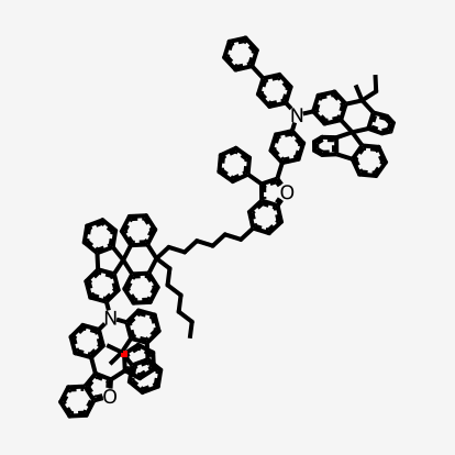 CCCCCCC1(CCCCCCc2ccc3oc(-c4ccc(N(c5ccc(-c6ccccc6)cc5)c5ccc6c(c5)C5(c7ccccc7-c7ccccc75)c5ccccc5C6(C)CC)cc4)c(-c4ccccc4)c3c2)c2ccccc2C2(c3ccccc3-c3ccc(N(c4cccc(-c5c(-c6ccccc6)oc6ccccc56)c4)c4cccc5c4C(C)(C)c4ccccc4-5)cc32)c2ccccc21